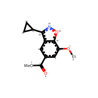 CCOc1cc(C(=O)OC)cc2c(C3CC3)noc12